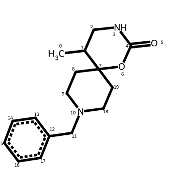 CC1CNC(=O)OC12CCN(Cc1ccccc1)CC2